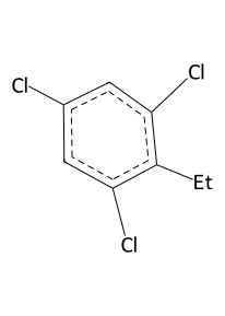 [CH2]Cc1c(Cl)cc(Cl)cc1Cl